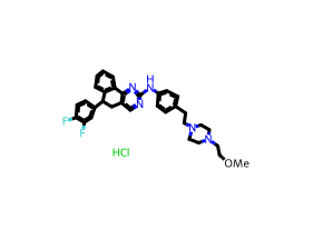 COCCN1CCN(CCc2ccc(Nc3ncc4c(n3)-c3ccccc3C(c3ccc(F)c(F)c3)C4)cc2)CC1.Cl